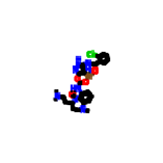 CN(C)CCC1CCN(C)c2cccc(NC(=O)Oc3n[nH]c(NC(=O)c4ccccc4Cl)c3Br)c2[N+]1=O